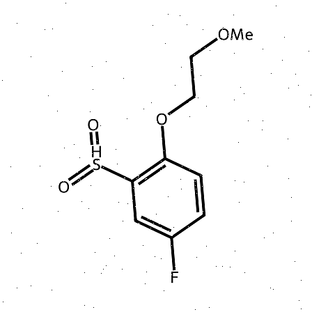 COCCOc1ccc(F)cc1[SH](=O)=O